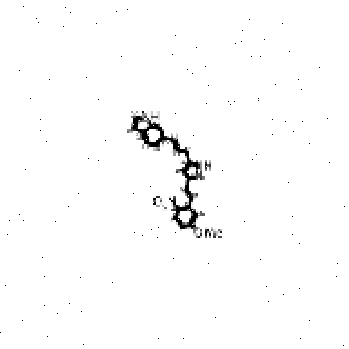 COc1ccc([N+](=O)[O-])c(/C=C/c2cc(C/C=C/c3ccc4cc[nH]c4c3)[nH]n2)c1